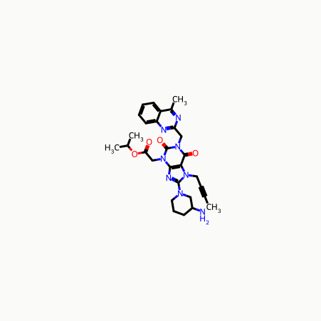 CC#CCn1c(N2CCCC(N)C2)nc2c1c(=O)n(Cc1nc(C)c3ccccc3n1)c(=O)n2CC(=O)OC(C)C